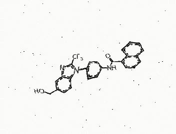 O=C(Nc1ccc(-n2c(C(F)(F)F)nc3cc(CO)ccc32)cc1)c1cccc2ccccc12